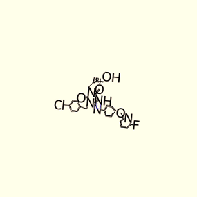 O=c1[nH]/c(=N\c2ccc(Oc3cccc(F)n3)cc2)n(Cc2ccc(Cl)cc2)c(=O)n1CC1C[C@H]1CO